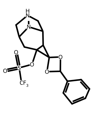 CN1C2CNCC1C1C(OS(=O)(=O)C(F)(F)F)(C2)C12OC(c1ccccc1)O2